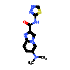 CN(C)c1ccc2nc(C(=O)Nc3nncs3)cn2c1